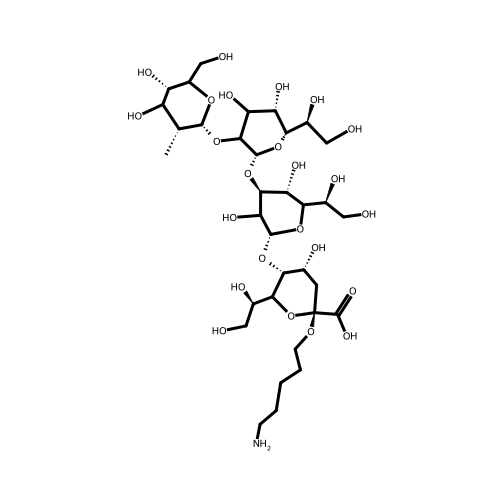 C[C@@H]1C(O)[C@H](O)C(CO)O[C@@H]1OC1C(O)[C@H](O)[C@H]([C@@H](O)CO)O[C@@H]1O[C@@H]1C(O)[C@@H](O[C@H]2C([C@H](O)CO)O[C@@](OCCCCCN)(C(=O)O)C[C@H]2O)OC([C@@H](O)CO)[C@H]1O